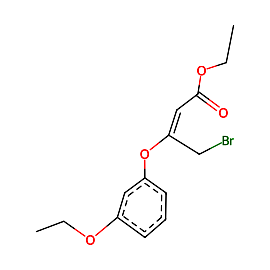 CCOC(=O)C=C(CBr)Oc1cccc(OCC)c1